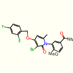 CNC(=O)c1ccc(OC)c(-n2c(C)cc(OCc3ccc(F)cc3F)c(Br)c2=O)c1